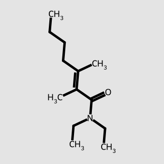 CCCC/C(C)=C(\C)C(=O)N(CC)CC